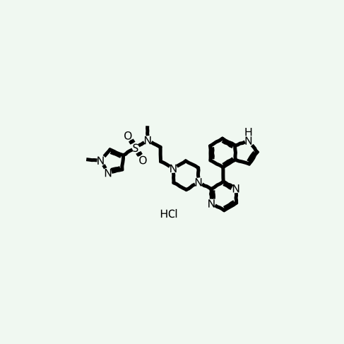 CN(CCN1CCN(c2nccnc2-c2cccc3[nH]ccc23)CC1)S(=O)(=O)c1cnn(C)c1.Cl